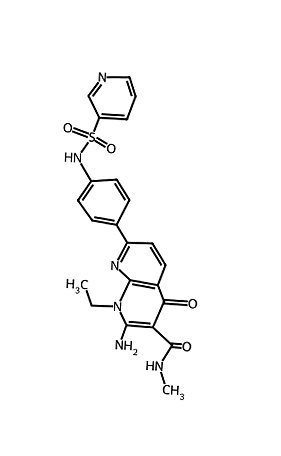 CCn1c(N)c(C(=O)NC)c(=O)c2ccc(-c3ccc(NS(=O)(=O)c4cccnc4)cc3)nc21